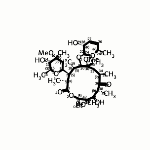 CC[C@H]1OC(=O)[C@H](C)[C@@H](C2C[C@@](C)(OC)[C@@H](O)[C@H](C)O2)[C@H](C)[C@@H](O[C@@H]2O[C@H](C)C=C[C@H]2O)[C@](C)(OC)C[C@@H](C)C(=O)[C@H](C)[C@@H](O)[C@]1(C)O